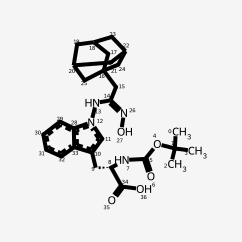 CC(C)(C)OC(=O)N[C@@H](Cc1cn(N/C(CC23CC4CC(CC(C4)C2)C3)=N\O)c2ccccc12)C(=O)O